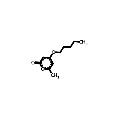 CCCCCOc1cc(C)oc(=O)c1